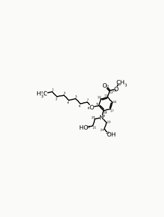 CCCCCCCCOc1cc(C(=O)OC)ccc1N(CCO)CCO